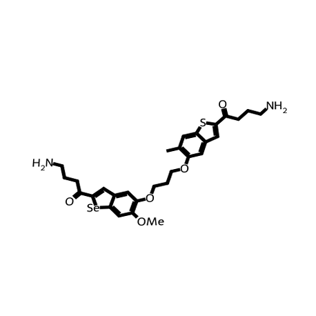 COc1cc2[se]c(C(=O)CCCN)cc2cc1OCCCOc1cc2cc(C(=O)CCCN)sc2cc1C